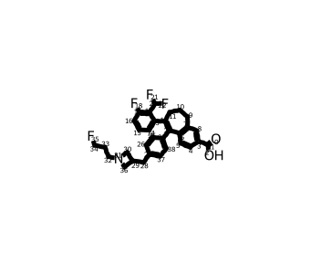 O=C(O)c1ccc2c(c1)CCCC(c1cccc(F)c1C(F)F)=C2c1ccc(CC2CN(CCCF)C2)cc1